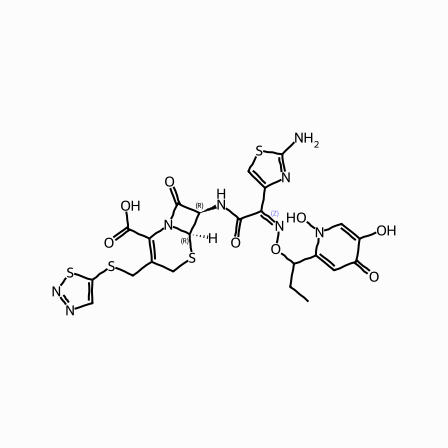 CCC(O/N=C(\C(=O)N[C@@H]1C(=O)N2C(C(=O)O)=C(CSc3cnns3)CS[C@H]12)c1csc(N)n1)c1cc(=O)c(O)cn1O